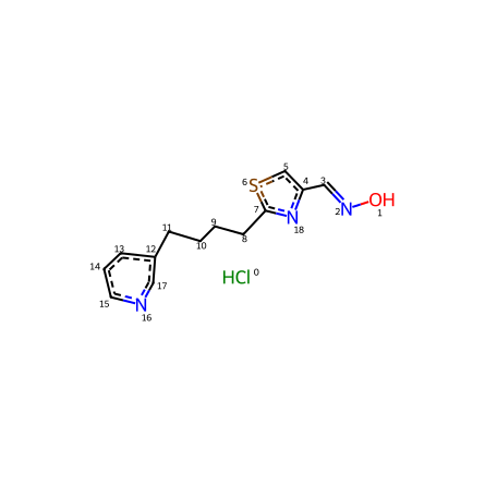 Cl.ON=Cc1csc(CCCCc2cccnc2)n1